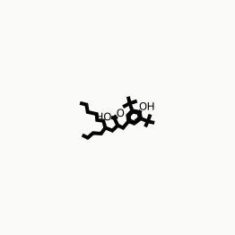 CCCCCCC(CCCC)CC(Cc1cc(C(C)(C)C)c(O)c(C(C)(C)C)c1)C(=O)O